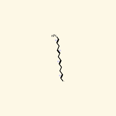 [CH2]/C=C/CC/C=C/C/C=C/C/C=C/CCC